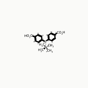 C[N+](C)(C)C.O=C(O)c1ccc(Sc2ccc(C(=O)O)cc2)cc1